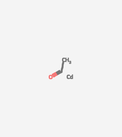 CC=O.[Cd]